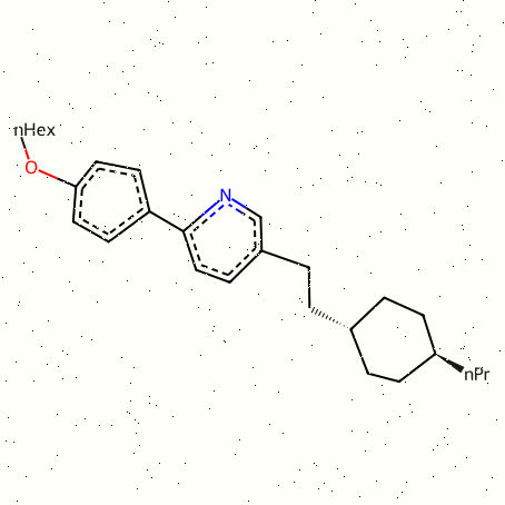 CCCCCCOc1ccc(-c2ccc(CC[C@H]3CC[C@H](CCC)CC3)cn2)cc1